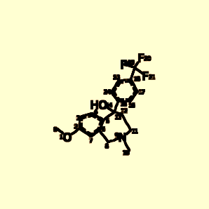 COc1ccc2c(c1)CN(C)CCC2(O)c1ccc(C(F)(F)F)cc1